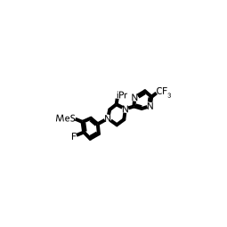 CSc1cc(N2CCN(c3cnc(C(F)(F)F)cn3)C(C(C)C)C2)ccc1F